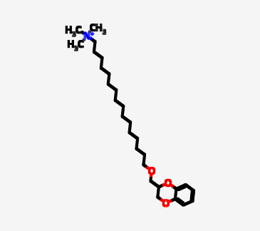 C[N+](C)(C)CCCCCCCCCCCCCCCCOCC1COc2ccccc2O1